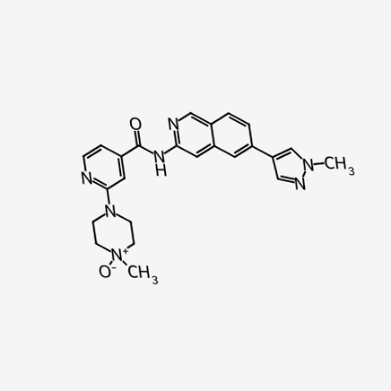 Cn1cc(-c2ccc3cnc(NC(=O)c4ccnc(N5CC[N+](C)([O-])CC5)c4)cc3c2)cn1